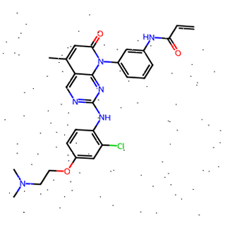 C=CC(=O)Nc1cccc(-n2c(=O)cc(C)c3cnc(Nc4ccc(OCCN(C)C)cc4Cl)nc32)c1